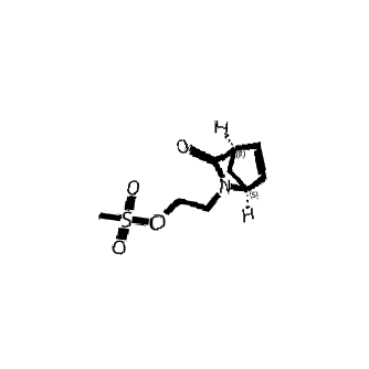 CS(=O)(=O)OCCN1C(=O)[C@H]2C=C[C@@H]1C2